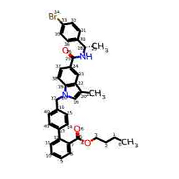 CCCCOC(=O)c1ccccc1-c1ccc(Cn2cc(C)c3cc(C(=O)N[C@@H](C)c4ccc(Br)cc4)ccc32)cc1